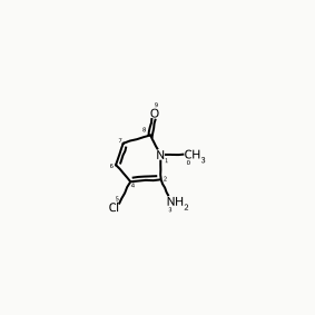 Cn1c(N)c(Cl)ccc1=O